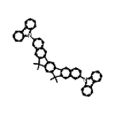 CC1(C)c2cc3c(cc2-c2cc4ccc(-n5c6ccccc6c6ccccc65)cc4cc21)-c1cc2ccc(-n4c5ccccc5c5ccccc54)cc2cc1C3(C)C